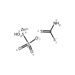 NC(=S)[S-].O=S(=O)([O-])S(=O)(=O)O.[Zn+2]